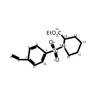 C=Cc1ccc(S(=O)(=O)N2CCCCC2C(=O)OCC)cc1